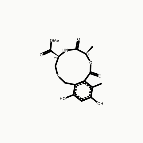 COC(=O)[C@@H]1CSCc2c(O)cc(O)c(C)c2C(=O)O[C@H](C)C(=O)N1